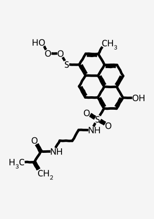 C=C(C)C(=O)NCCCNS(=O)(=O)c1cc(O)c2ccc3c(C)cc(SOOO)c4ccc1c2c34